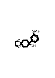 CSc1cccc(C2(O)CCC3(CC2)OCCO3)c1